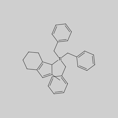 CC1=CC2=C(CCCC2)[CH]1[Ti]([CH2]c1ccccc1)([CH2]c1ccccc1)[CH2]c1ccccc1